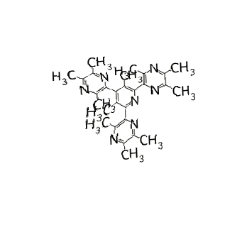 Cc1nc(C)c(-c2nc(-c3nc(C)c(C)nc3C)c(C)c(-c3nc(C)c(C)nc3C)c2C)nc1C